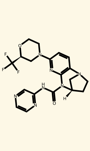 O=C(Nc1cnccn1)N1c2nc(N3CCO[C@H](C(F)(F)F)C3)ccc2N2CC[C@H]1C2